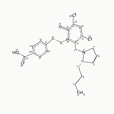 CCCC[C@H]1CCCN1Cc1c(Cl)cc(Cl)c(=O)n1CCc1ccc(C(=O)O)cc1